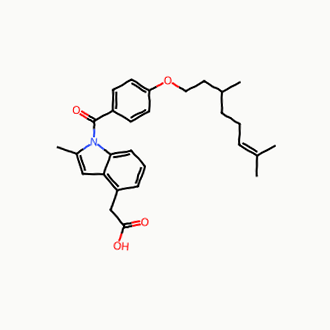 CC(C)=CCCC(C)CCOc1ccc(C(=O)n2c(C)cc3c(CC(=O)O)cccc32)cc1